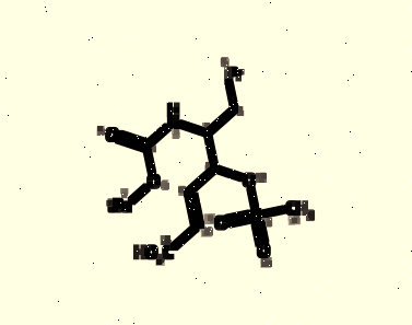 CC(C)CC(NC(=O)OC(C)(C)C)C(C=CC(=O)O)OS(C)(=O)=O